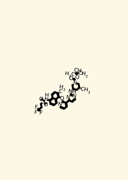 Cc1ccc2c(NS(=O)(=O)CCC(F)(F)F)cccc2c1Oc1ncccc1-c1ccnc(N[C@H]2C[C@@H](C)CN(C(=O)OC(C)(C)C)C2)n1